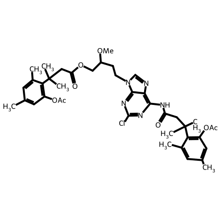 COC(CCn1cnc2c(NC(=O)CC(C)(C)c3c(C)cc(C)cc3OC(C)=O)nc(Cl)nc21)COC(=O)CC(C)(C)c1c(C)cc(C)cc1OC(C)=O